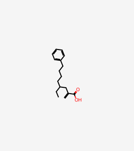 C=C(CC(CC)CCCCc1ccccc1)C(=O)O